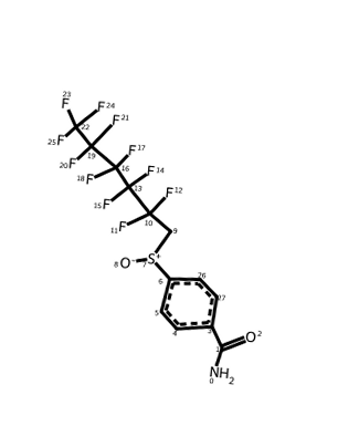 NC(=O)c1ccc([S+]([O-])CC(F)(F)C(F)(F)C(F)(F)C(F)(F)C(F)(F)F)cc1